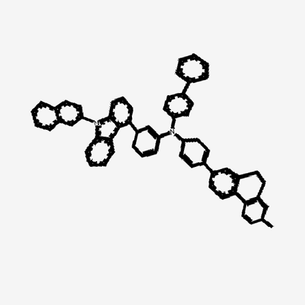 CC1C=CC2=C(CCc3cc(C4=CCC(N(C5=CC(c6cccc7c6c6ccccc6n7-c6ccc7ccccc7c6)CC=C5)c5ccc(-c6ccccc6)cc5)C=C4)ccc32)C1